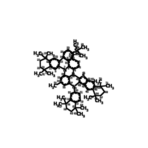 Cc1ccc2c(c1)N(c1cc3c(cc1-c1ccc([Si](C)(C)C)cc1)C(C)(C)CCC3(C)C)c1cc(C)cc3c1B2c1sc2cc4c(cc2c1N3c1ccc2c(c1)C(C)(C)CCC2(C)C)C(C)(C)CCC4(C)C